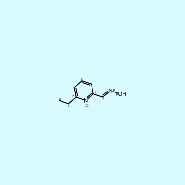 CCc1cccc(/C=N/O)n1